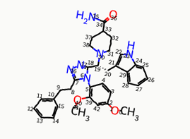 COc1ccc(-n2c(CCc3ccccc3)nnc2[C@@H](Cc2c[nH]c3ccccc23)N2CCC(C(N)=O)CC2)c(OC)c1